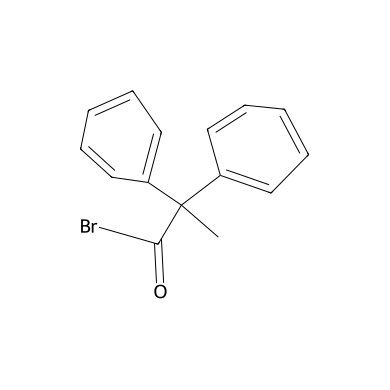 CC(C(=O)Br)(c1ccccc1)c1ccccc1